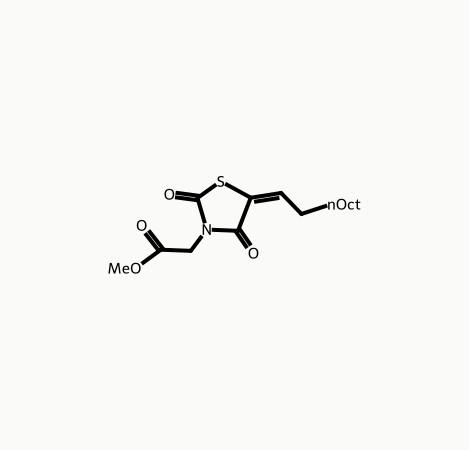 CCCCCCCCC/C=C1/SC(=O)N(CC(=O)OC)C1=O